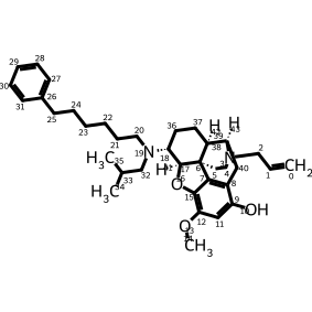 C=CCN1CC[C@]23c4c5c(O)cc(OC)c4O[C@H]2[C@H](N(CCCCCCc2ccccc2)CC(C)C)CC[C@H]3[C@H]1C5